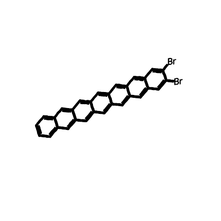 Brc1cc2cc3cc4cc5cc6cc7ccccc7cc6cc5cc4cc3cc2cc1Br